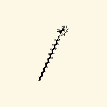 CCCCCCCCCCCCCCCCCCSSNC(=O)C(N)=O